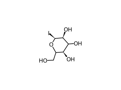 OCC1O[C@@H](I)[C@@H](O)C(O)[C@H]1O